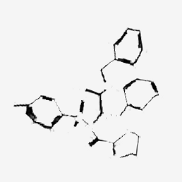 Cc1ccc(S(=O)(=O)N(C(=O)[C@H]2NCCS2)[C@@H](Cc2ccccc2)C(=O)OCc2ccccc2)cc1